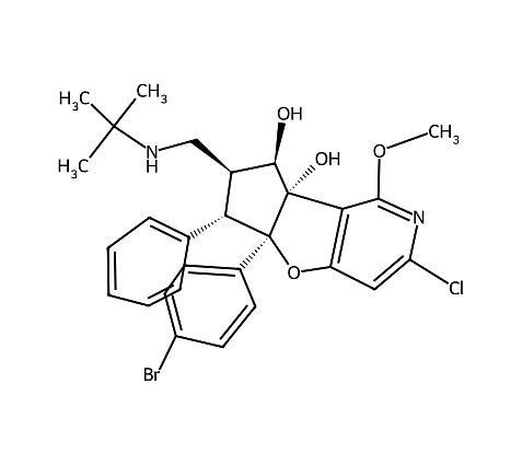 COc1nc(Cl)cc2c1[C@]1(O)[C@H](O)[C@H](CNC(C)(C)C)[C@@H](c3ccccc3)[C@]1(c1ccc(Br)cc1)O2